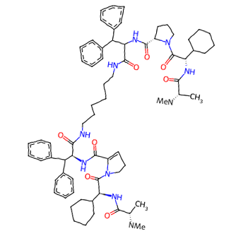 CN[C@@H](C)C(=O)N[C@H](C(=O)N1CCC=C1C(=O)N[C@H](C(=O)NCCCCCCNC(=O)C(NC(=O)[C@@H]1CCCN1C(=O)[C@@H](NC(=O)[C@H](C)NC)C1CCCCC1)C(c1ccccc1)c1ccccc1)C(c1ccccc1)c1ccccc1)C1CCCCC1